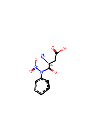 N[C@@H](CC(=O)O)C(=O)N(c1ccccc1)[N+](=O)[O-]